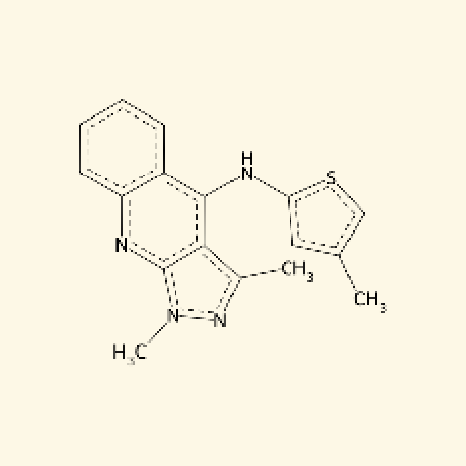 Cc1csc(Nc2c3ccccc3nc3c2c(C)nn3C)c1